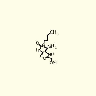 CCCCn1c(N)c(NC(=O)CO)c(=O)[nH]c1=O